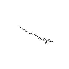 CCCCCCCCCCCCCCCCCOC(=O)OCC